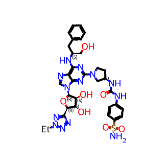 CCn1nnc([C@H]2O[C@@H](n3cnc4c(N[C@H](CO)Cc5ccccc5)nc(N5CC[C@@H](NC(=O)Nc6ccc(S(N)(=O)=O)cc6)C5)nc43)[C@@H](O)[C@@H]2O)n1